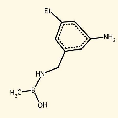 CCc1cc(N)cc(CNB(C)O)c1